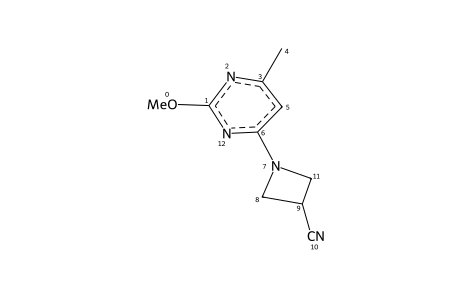 COc1nc(C)cc(N2CC(C#N)C2)n1